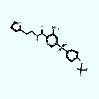 Nc1cc(S(=O)(=O)c2ccc(OC(F)(F)F)cc2)cnc1C(=O)NCCc1ccco1